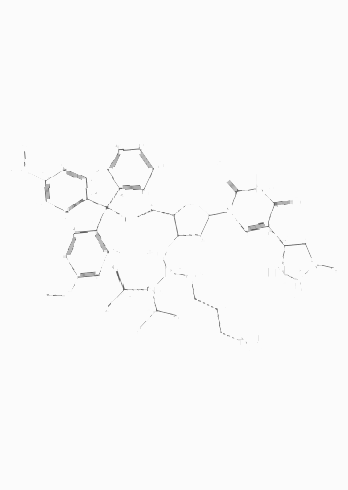 COc1ccc(C(OCC2OC(n3cc(C4CN(C)NN4)c(=O)[nH]c3=O)CC2OP(OCCCN)N(C(C)C)C(C)C)(c2ccccc2)c2ccc(OC)cc2)cc1